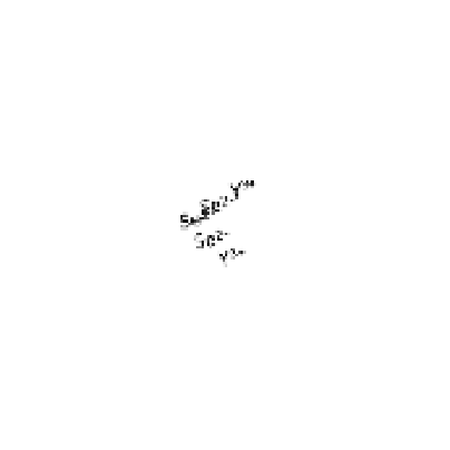 [Se-2].[Se-2].[Se-2].[Y+3].[Y+3]